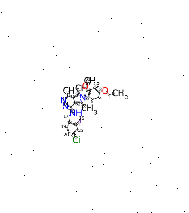 CCOc1ccc(-n2c(C)c3c(C)nnc(NCc4ccc(Cl)cc4I)c3c2C)c(OC)c1